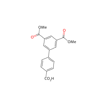 COC(=O)c1cc(C(=O)OC)cc(-c2ccc(C(=O)O)cc2)c1